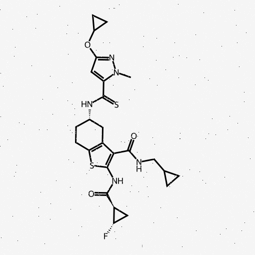 Cn1nc(OC2CC2)cc1C(=S)N[C@H]1CCc2sc(NC(=O)[C@H]3C[C@@H]3F)c(C(=O)NCC3CC3)c2C1